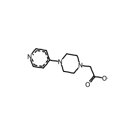 [O]C(=O)CN1CCN(c2ccncc2)CC1